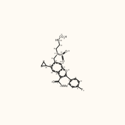 CNC(=O)c1c(-c2ccc(F)cc2)oc2cc(CN(CCNC(=O)O)[SH](=O)=O)c(C3CC3)cc12